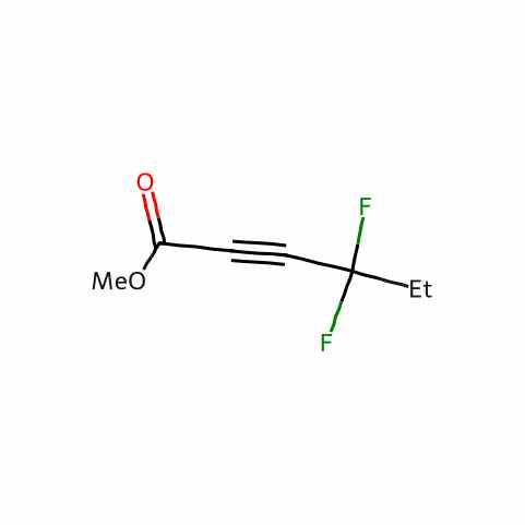 CCC(F)(F)C#CC(=O)OC